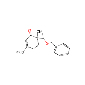 CC(C)COC1=CC(=O)C(C)(COCc2ccccc2)CC1